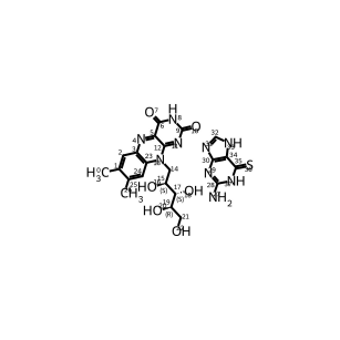 Cc1cc2nc3c(=O)[nH]c(=O)nc-3n(C[C@H](O)[C@H](O)[C@H](O)CO)c2cc1C.Nc1nc2nc[nH]c2c(=S)[nH]1